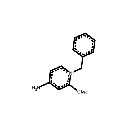 COc1cc(N)cc[n+]1Cc1ccccc1